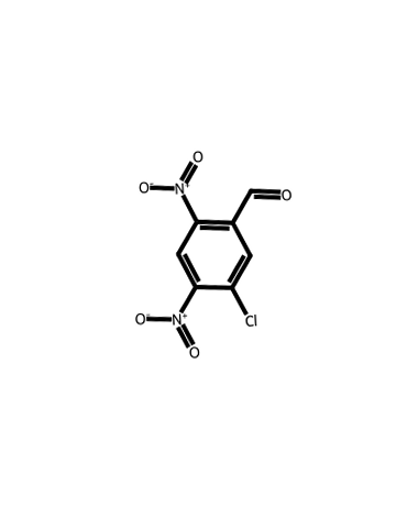 O=Cc1cc(Cl)c([N+](=O)[O-])cc1[N+](=O)[O-]